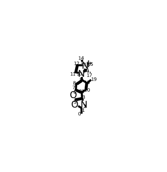 Cc1nc2c(o1)oc1cc(N3C=C[N+](C)(I)[C@@H]3C)c(C)cc12